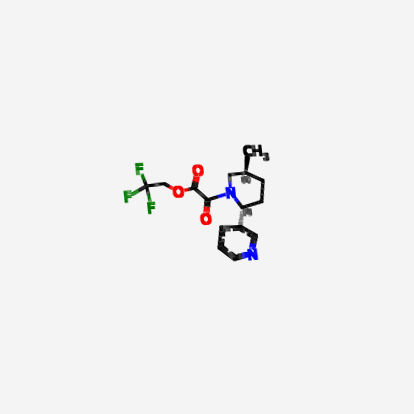 C[C@H]1CC[C@H](c2cccnc2)N(C(=O)C(=O)OCC(F)(F)F)C1